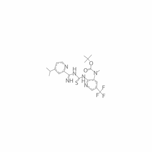 CC(C)c1ccnc(C(=N)NC(=S)Nc2ncc(C(F)(F)F)cc2N(C)C(=O)OC(C)(C)C)c1